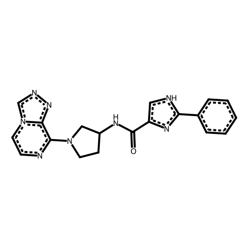 O=C(NC1CCN(c2nccn3cnnc23)C1)c1c[nH]c(-c2ccccc2)n1